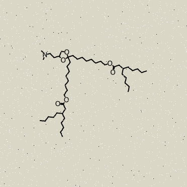 CCCCCC(CCCCC)CC(=O)OCCCCCCCCC1(CCCCCCCCOC(=O)CC(CCCCC)CCCCC)OCC(CCN(C)C)O1